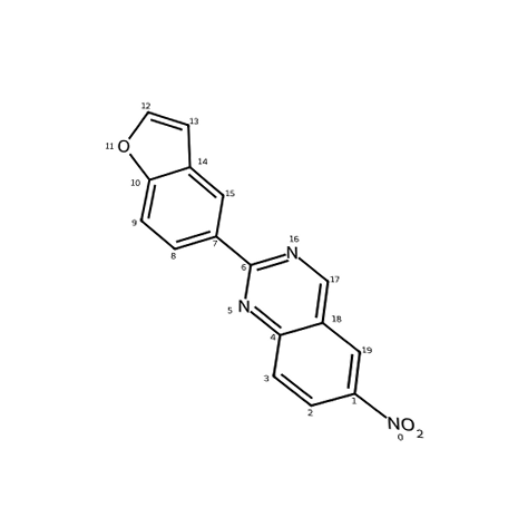 O=[N+]([O-])c1ccc2nc(-c3ccc4occc4c3)ncc2c1